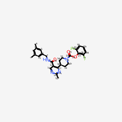 Cc1cc(C)cc(CNC(=O)c2cnc(C)nc2C2CCN(C(=O)Oc3c(F)cccc3F)CC2)c1